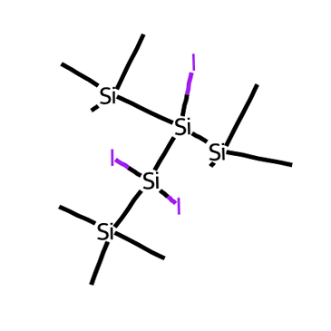 C[Si](C)(C)[Si](I)(I)[Si](I)([Si](C)(C)C)[Si](C)(C)C